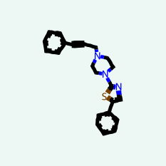 C(#Cc1ccccc1)CN1CCN(c2ncc(-c3ccccc3)s2)CC1